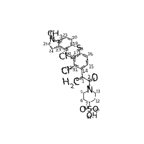 C=C(C(=O)N1CCC(S(=O)(=O)O)CC1)c1ccc(Sc2ccc3c(ccn3C)c2)c(Cl)c1Cl